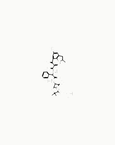 CC1Cc2cc(F)cc3c(=O)c(C(=O)NC(C(=O)NC4C(=O)N5C4SC(C)(C)C5C(=O)O)c4ccccc4)cn1c23